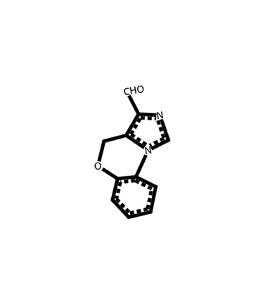 O=Cc1ncn2c1COc1ccccc1-2